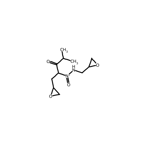 CC(C)C(=O)C(CC1CO1)[N+](=O)NCC1CO1